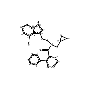 O=C(c1nccnc1-c1ccccc1)N(CCc1c[nH]c2cccc(F)c12)CC1CC1